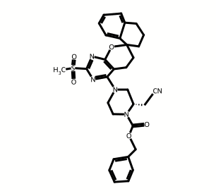 CS(=O)(=O)c1nc2c(c(N3CCN(C(=O)OCc4ccccc4)[C@@H](CC#N)C3)n1)CCC1(CCCc3ccccc31)O2